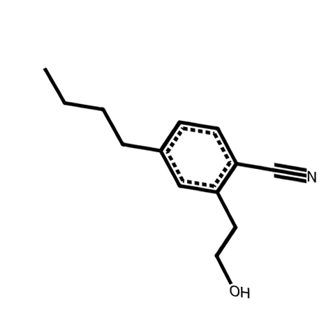 CCCCc1ccc(C#N)c(CCO)c1